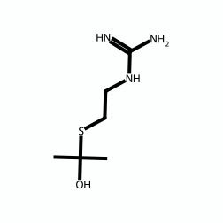 CC(C)(O)SCCNC(=N)N